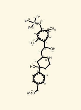 COCc1ccc(C2(O)CCNC(CC(O)c3cc(C)c(O[Si](C(C)C)(C(C)C)C(C)C)cc3C)C2)cc1